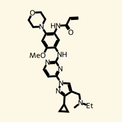 C=CC(=O)Nc1cc(Nc2nccc(-n3cc(CN(C)CC)c(C4CC4)n3)n2)c(OC)cc1N1CCOCC1